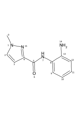 Cn1ccc(C(=O)Nc2ccccc2N)n1